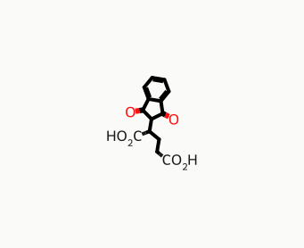 O=C(O)CCC(C(=O)O)C1C(=O)c2ccccc2C1=O